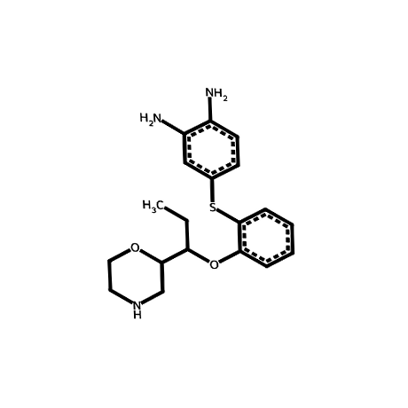 CCC(Oc1ccccc1Sc1ccc(N)c(N)c1)C1CNCCO1